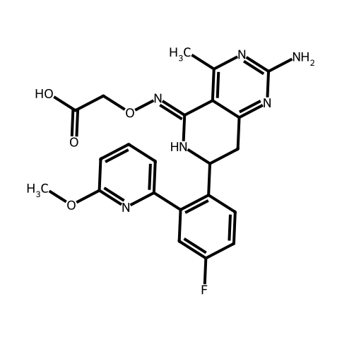 COc1cccc(-c2cc(F)ccc2C2Cc3nc(N)nc(C)c3/C(=N/OCC(=O)O)N2)n1